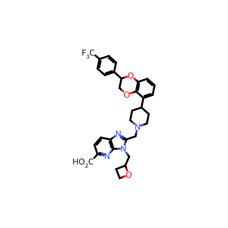 O=C(O)c1ccc2nc(CN3CCC(c4cccc5c4OCC(c4ccc(C(F)(F)F)cc4)O5)CC3)n(CC3CCO3)c2n1